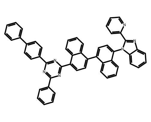 c1ccc(-c2ccc(-c3nc(-c4ccccc4)nc(-c4ccc(-c5ccc(-n6c(-c7ccccn7)nc7ccccc76)c6ccccc56)c5ccccc45)n3)cc2)cc1